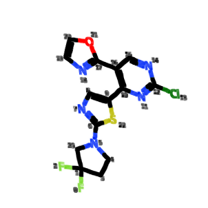 FC1(F)CCN(c2ncc(-c3nc(Cl)ncc3-c3ncco3)s2)C1